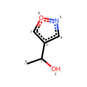 [CH2]C(O)c1cnoc1